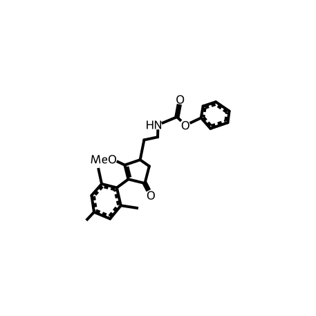 COC1=C(c2c(C)cc(C)cc2C)C(=O)CC1CCNC(=O)Oc1ccccc1